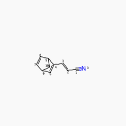 N#CC=CC1=CC2C=CC1C2